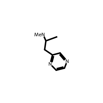 CNC(C)Cc1cnccn1